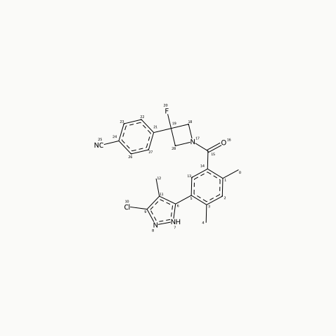 Cc1cc(C)c(-c2[nH]nc(Cl)c2C)cc1C(=O)N1CC(F)(c2ccc(C#N)cc2)C1